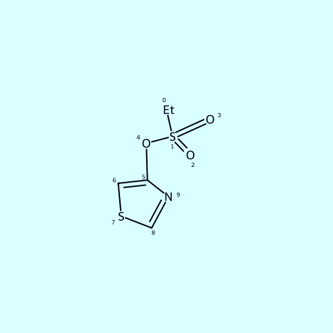 CCS(=O)(=O)Oc1cscn1